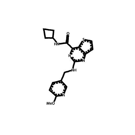 COc1ccc(CNc2nc(C(=O)NC3CCC3)c3sccc3n2)cn1